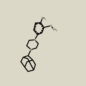 COc1cc(N2CCN(C3C4CC5CC(C4)CC3C5)CC2)ccc1N